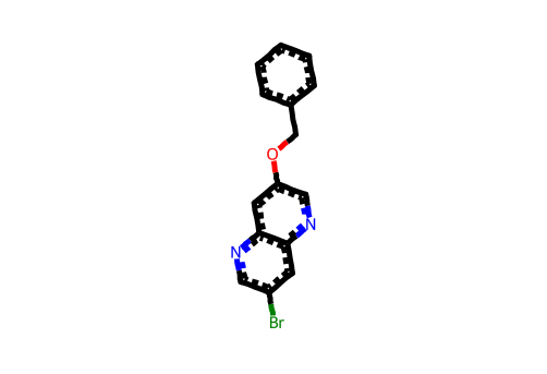 Brc1cnc2cc(OCc3ccccc3)cnc2c1